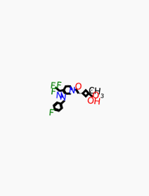 C[C@]1(C(=O)O)C[C@H](CC(=O)N2CCc3c(C(F)(F)F)nn(Cc4ccc(F)cc4)c3C2)C1